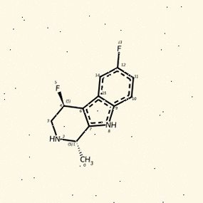 C[C@@H]1NC[C@@H](F)c2c1[nH]c1ccc(F)cc21